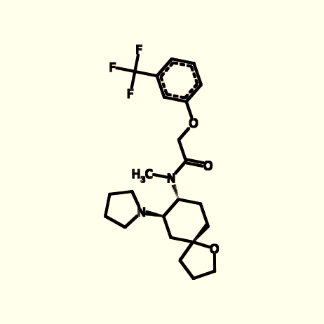 CN(C(=O)COc1cccc(C(F)(F)F)c1)[C@@H]1CC[C@@]2(CCCO2)C[C@H]1N1CCCC1